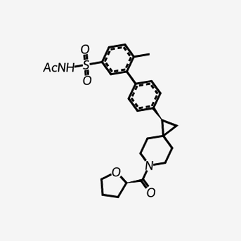 CC(=O)NS(=O)(=O)c1ccc(C)c(-c2ccc([C@H]3CC34CCN(C(=O)[C@H]3CCCO3)CC4)cc2)c1